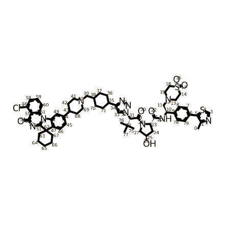 Cc1ncsc1-c1ccc([C@H](CN2CCS(=O)(=O)CC2)NC(=O)[C@@H]2C[C@@H](O)CN2C(=O)[C@@H](n2cc(C3CCC(CN4CCC(c5ccc6c(c5)-n5c(nc(=O)c7c(Cl)cccc75)C65CCCCC5)CC4)CC3)nn2)C(C)(C)C)cc1